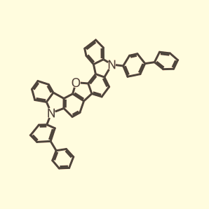 c1ccc(-c2ccc(-n3c4ccccc4c4c5oc6c(ccc7c6c6ccccc6n7-c6cccc(-c7ccccc7)c6)c5ccc43)cc2)cc1